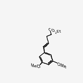 CCOC(=O)CC/C=C/c1cc(OC)cc(OC)c1